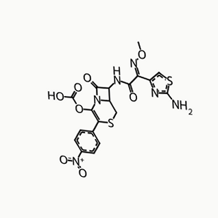 CON=C(C(=O)NC1C(=O)N2C(OC(=O)O)=C(c3ccc([N+](=O)[O-])cc3)SCC12)c1csc(N)n1